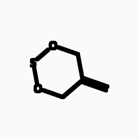 C=C1COSOC1